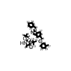 CC(NC(=O)OC(C)(C)C)C(=O)OC(C)(C)C.Cc1cccc(OCc2ccc3c(cnn3Cc3ccccc3)c2)c1